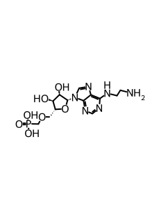 NCCNc1ncnc2c1ncn2[C@@H]1O[C@H](COCP(=O)(O)O)[C@@H](O)[C@H]1O